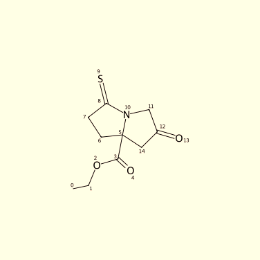 CCOC(=O)C12CCC(=S)N1CC(=O)C2